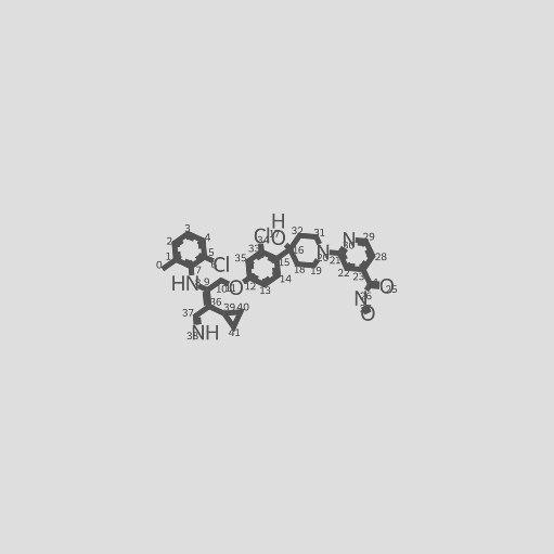 Cc1cccc(Cl)c1N/C(COc1ccc(C2(O)CCN(c3cc(C(=O)N=O)ccn3)CC2)c(Cl)c1)=C(\C=N)C1CC1